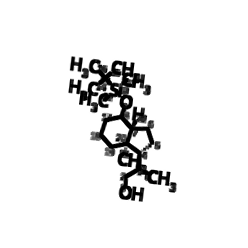 C[C@@H](CO)[C@H]1CC[C@H]2C(O[Si](C)(C)C(C)(C)C)CCC[C@]12C